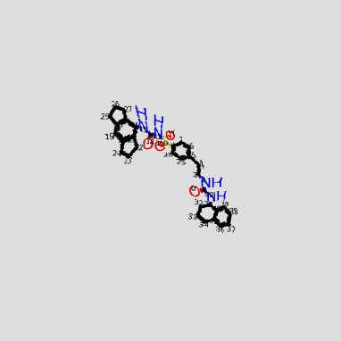 O=C(NCCc1ccc(S(=O)(=O)NC(=O)Nc2c3c(cc4c2CCC4)CCC3)cc1)NC1CCCc2ccccc21